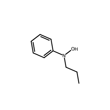 CCCN(O)c1ccccc1